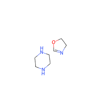 C1=NCCO1.C1CNCCN1